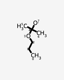 CCCOC(C)(C)[O]